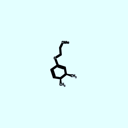 COCCOC1=C[C@@H](C)[C@@H](C)C=C1